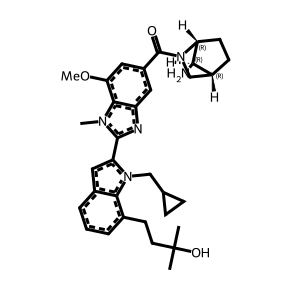 COc1cc(C(=O)N2C[C@H]3CC[C@@H]2[C@@H]3N)cc2nc(-c3cc4cccc(CCC(C)(C)O)c4n3CC3CC3)n(C)c12